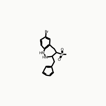 CS(=O)(=O)C1Cc2cc(Br)ccc2NNC1Cc1ccccc1